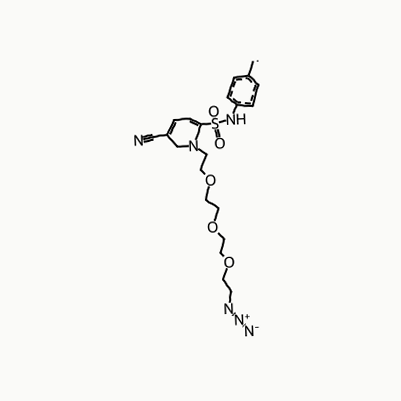 [CH2]c1ccc(NS(=O)(=O)C2=CC=C(C#N)CN2CCOCCOCCOCCN=[N+]=[N-])cc1